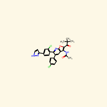 CC(=O)Nc1c(C(=O)C(C)(C)C)oc2nc(-c3ccc(-c4cc[nH]n4)cc3Cl)c(-c3ccc(Cl)cc3)cc12